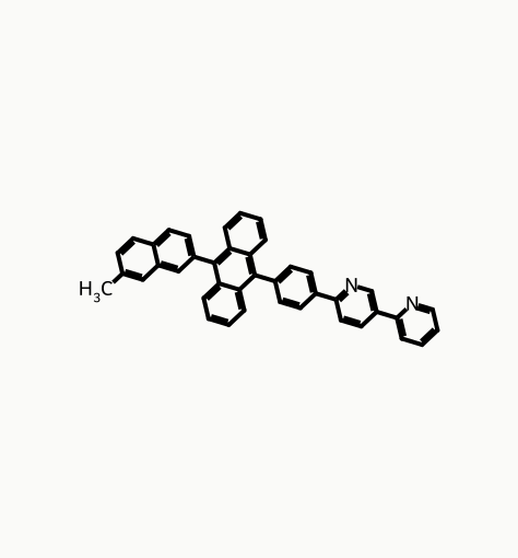 Cc1ccc2ccc(-c3c4ccccc4c(-c4ccc(-c5ccc(-c6ccccn6)cn5)cc4)c4ccccc34)cc2c1